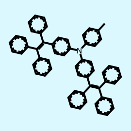 Cc1ccc(N(c2ccc(C(=C(c3ccccc3)c3ccccc3)c3ccccc3)cc2)c2ccc(C(=C(c3ccccc3)c3ccccc3)c3ccccc3)cc2)cc1